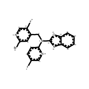 Fc1ccc(N(Cc2cc(Br)ncc2F)c2nc3ccccc3o2)nc1